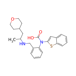 CC(CC1CCOCC1)NCc1ccccc1N(C(=O)O)c1cc2ccccc2s1